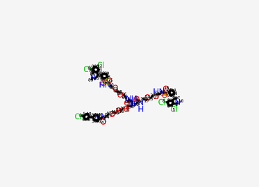 CN1Cc2c(Cl)cc(Cl)cc2[C@H](c2cccc(S(=O)(=O)NCCOCCOCCNC(=O)CN(CCOCCOCCOCCNC(=O)c3ccc(-c4ccc(Cl)cc4)cc3)CC(=O)NCCOCCOCCNS(=O)(=O)c3cccc([C@@H]4CN(C)Cc5c(Cl)cc(Cl)cc54)c3)c2)C1